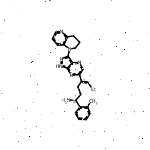 CC/C=C(\CC[C@H](N)c1ccccc1C)c1cnc2c(N3CCCc4ncccc43)n[nH]c2n1